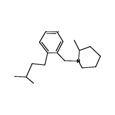 CC(C)CCc1cc[c]cc1CN1CCCCC1C